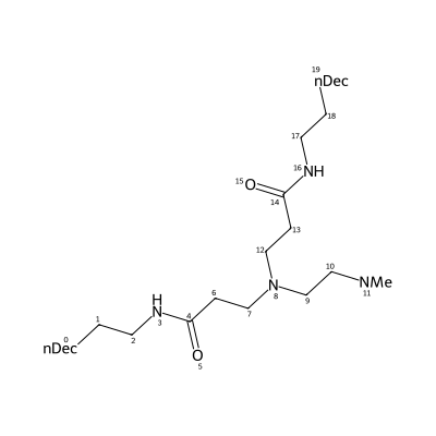 CCCCCCCCCCCCNC(=O)CCN(CCNC)CCC(=O)NCCCCCCCCCCCC